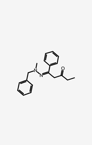 CCC(=O)CC(=NN(C)Cc1ccccc1)c1ccccc1